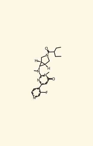 CCC(CC)C(=O)N1C[C@@H]2[C@H](C1)[C@H]2N(C)c1nc(-c2ccncc2F)cc(=O)n1C